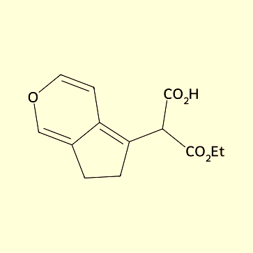 CCOC(=O)C(C(=O)O)C1=C2C=COC=C2CC1